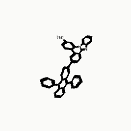 N#Cc1ccc2c3cc(-c4ccc5c(-c6ccccc6)c6ccccc6c(-c6ccccc6)c5c4)ccc3c3nc4ccccc4n3c2c1